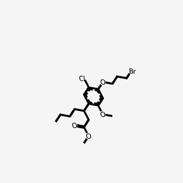 CCCCC(CC(=O)OC)c1cc(Cl)c(OCCCBr)cc1OC